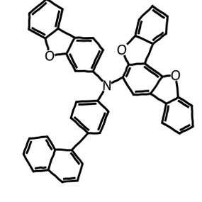 c1ccc2c(-c3ccc(N(c4ccc5c(c4)oc4ccccc45)c4cc5c6ccccc6oc5c5c4oc4ccccc45)cc3)cccc2c1